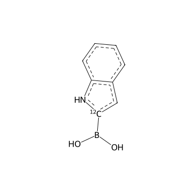 OB(O)[12c]1cc2ccccc2[nH]1